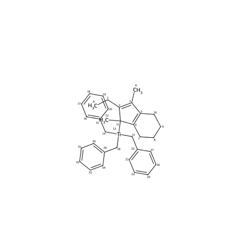 CCC1=C(C)C2=C(CCCC2)[C]1(C)[Ti]([CH2]c1ccccc1)([CH2]c1ccccc1)[CH2]c1ccccc1